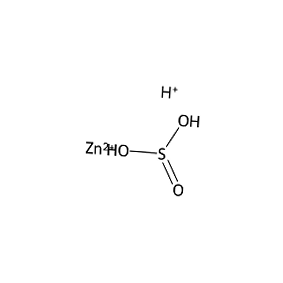 O=S(O)O.[H+].[Zn+2]